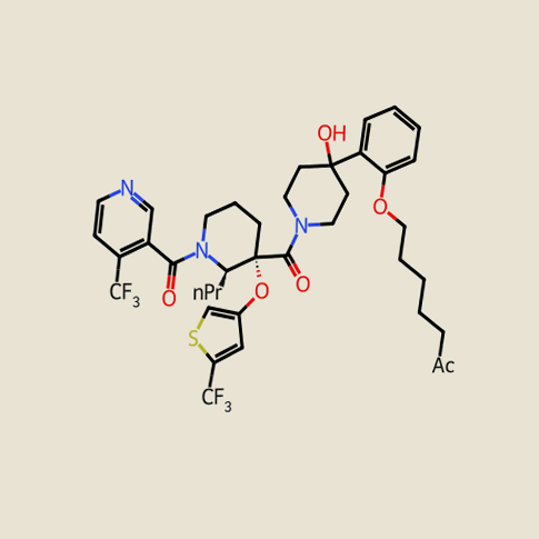 CCC[C@H]1N(C(=O)c2cnccc2C(F)(F)F)CCC[C@@]1(Oc1csc(C(F)(F)F)c1)C(=O)N1CCC(O)(c2ccccc2OCCCCCC(C)=O)CC1